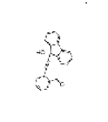 O=Cc1ccccc1C#CC1(O)c2ccccc2-c2ccccc21